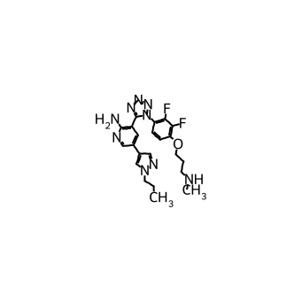 CCCn1cc(-c2cnc(N)c(-c3nnnn3-c3ccc(OCCCNC)c(F)c3F)c2)cn1